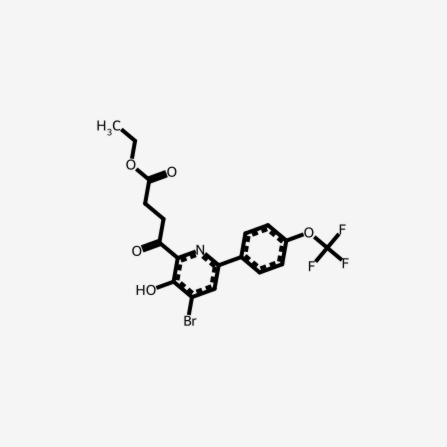 CCOC(=O)CCC(=O)c1nc(-c2ccc(OC(F)(F)F)cc2)cc(Br)c1O